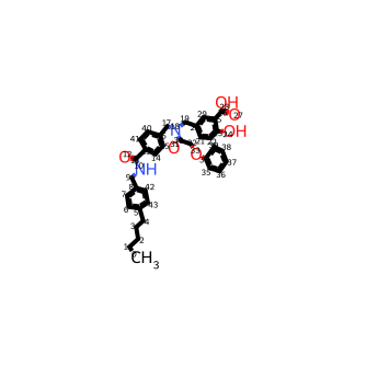 CCCCCc1ccc(CNC(=O)c2ccc(CN(Cc3ccc(O)c(C(=O)O)c3)C(=O)COc3ccccc3)cc2)cc1